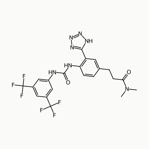 CN(C)C(=O)CCc1ccc(NC(=O)Nc2cc(C(F)(F)F)cc(C(F)(F)F)c2)c(-c2nnn[nH]2)c1